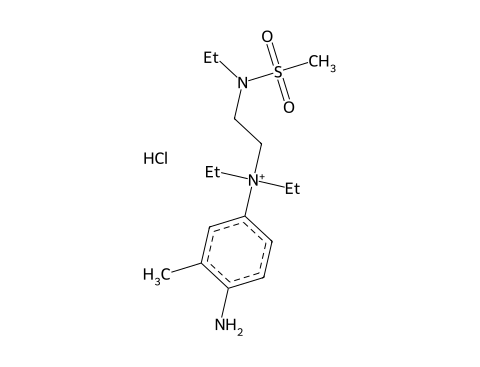 CCN(CC[N+](CC)(CC)c1ccc(N)c(C)c1)S(C)(=O)=O.Cl